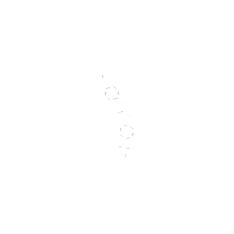 CCCCOc1ccc(NC(=O)Nc2ccc(S(N)(=O)=O)cc2)cc1